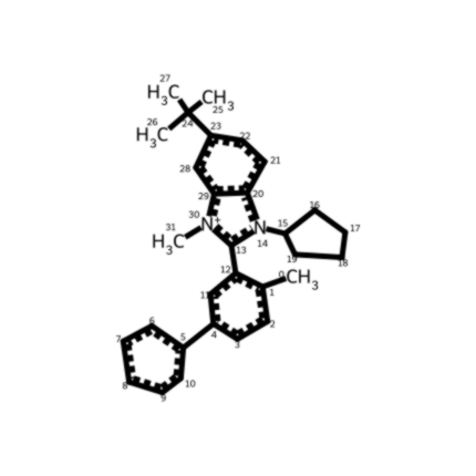 Cc1ccc(-c2ccccc2)cc1-c1n(C2CCCC2)c2ccc(C(C)(C)C)cc2[n+]1C